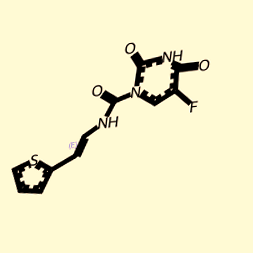 O=C(N/C=C/c1cccs1)n1cc(F)c(=O)[nH]c1=O